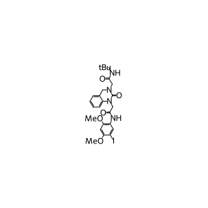 COc1cc(OC)c(NC(=O)CN2C(=O)N(CC(=O)NC(C)(C)C)Cc3ccccc32)cc1I